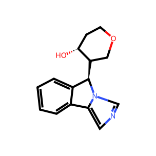 O[C@@H]1CCOCC1[C@@H]1c2ccccc2-c2cncn21